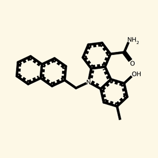 Cc1cc(O)c2c3c(C(N)=O)cccc3n(Cc3ccc4ccccc4c3)c2c1